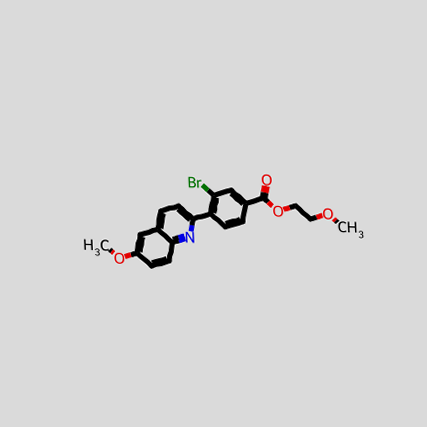 COCCOC(=O)c1ccc(-c2ccc3cc(OC)ccc3n2)c(Br)c1